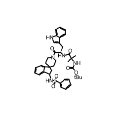 CC(C)(C)OC(=O)NC(C)(C)C(=O)N[C@H](Cc1c[nH]c2ccccc12)C(=O)N1CCC2(CC1)CC(NS(=O)(=O)c1ccccc1)c1ccccc12